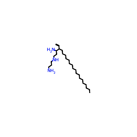 C=CC(CCCCCCCCCCCCCCCCCC)C(N)CCNCCCN